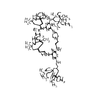 CCN(c1nc(N2CCN(CCNc3nc(NCCC4CC(C)(C)NC(C)(C)C4)nc(NCCC4CC(C)(C)NC(C)(C)C4)n3)CC2)nc(N(CC)C2CC(C)(C)NC(C)(C)C2)n1)C1CC(C)(C)NC(C)(C)C1